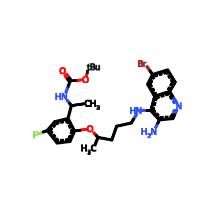 CC(CCCNc1c(N)cnc2ccc(Br)cc12)Oc1ccc(F)cc1C(C)NC(=O)OC(C)(C)C